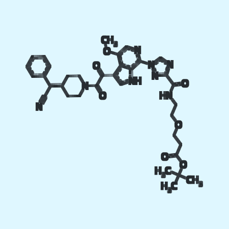 COc1cnc(-n2cnc(C(=O)NCCOCCC(=O)OC(C)(C)C)n2)c2[nH]cc(C(=O)C(=O)N3CCC(=C(C#N)c4ccccc4)CC3)c12